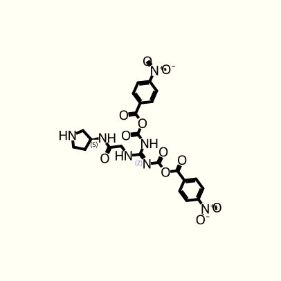 O=C(CN/C(=N/C(=O)OC(=O)c1ccc([N+](=O)[O-])cc1)NC(=O)OC(=O)c1ccc([N+](=O)[O-])cc1)N[C@H]1CCNC1